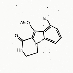 COc1c2n(c3cccc(Br)c13)CCNC2=O